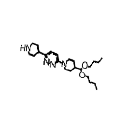 CCCCOC(OCCCC)C1CCN(c2ccc(C3CCNCC3)nn2)CC1